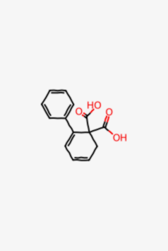 O=C(O)C1(C(=O)O)CC=CC=C1c1ccccc1